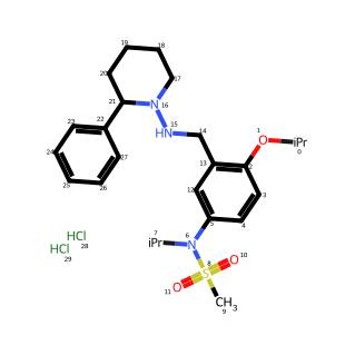 CC(C)Oc1ccc(N(C(C)C)S(C)(=O)=O)cc1CNN1CCCCC1c1ccccc1.Cl.Cl